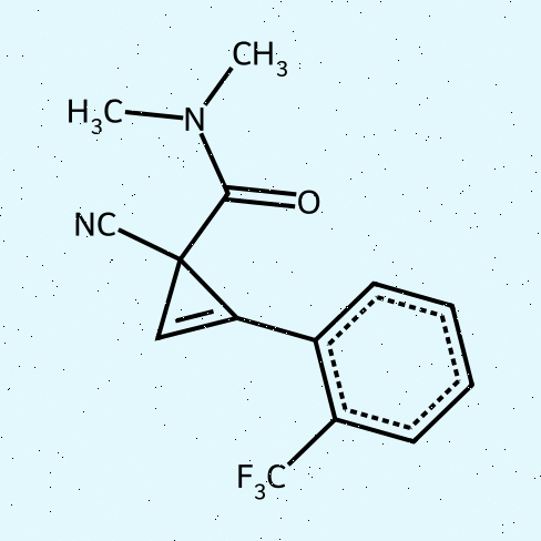 CN(C)C(=O)C1(C#N)C=C1c1ccccc1C(F)(F)F